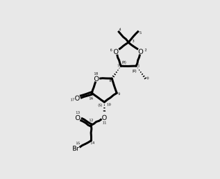 C[C@H]1OC(C)(C)O[C@H]1C1C[C@H](OC(=O)CBr)C(=O)O1